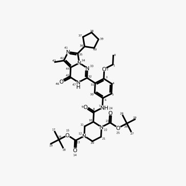 CCOc1ccc(NC(=O)C2CN(C(=O)OC(C)(C)C)CCN2C(=O)OC(C)(C)C)cc1-c1nn2c(C3CCCC3)nc(C)c2c(=O)[nH]1